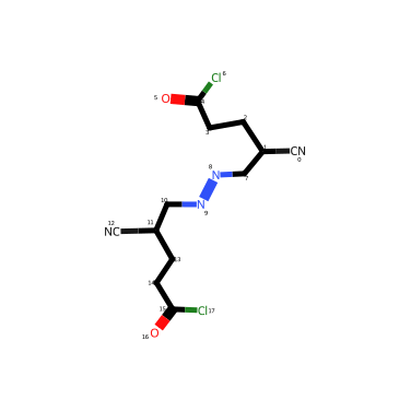 N#CC(CCC(=O)Cl)CN=NCC(C#N)CCC(=O)Cl